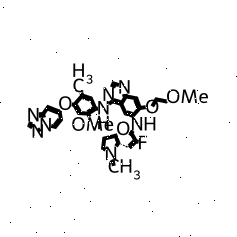 COCCOc1cc2ncnc(Nc3cc(C)c(Oc4ccn5ncnc5c4)cc3OC)c2cc1NC(=O)/C(F)=C\[C@H]1CCCN1C